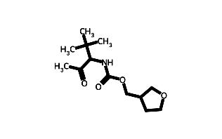 CC(=O)C(NC(=O)OCC1CCOC1)C(C)(C)C